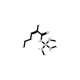 CCCC=C(C)C(=O)O[Si](OC)(OC)OC